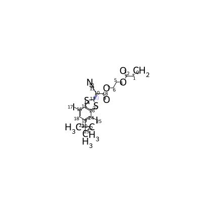 C=CC(=O)OCCOC(=O)/C(C#N)=C1/Sc2c(I)cc(C(C)(C)C)c(I)c2S1